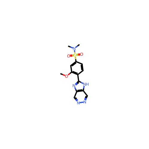 COc1cc(S(=O)(=O)N(C)C)ccc1-c1nc2cnncc2[nH]1